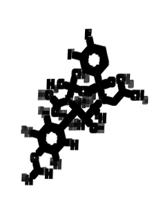 [2H]c1c([2H])c(C([2H])([2H])[C@]([2H])(N(C(=O)O)C(C)(C)C)[C@]([2H])(O)C([2H])([2H])N(CC(C)C)S(=O)(=O)c2ccc(F)c(F)c2)c([2H])c([2H])c1OC([2H])[2H]